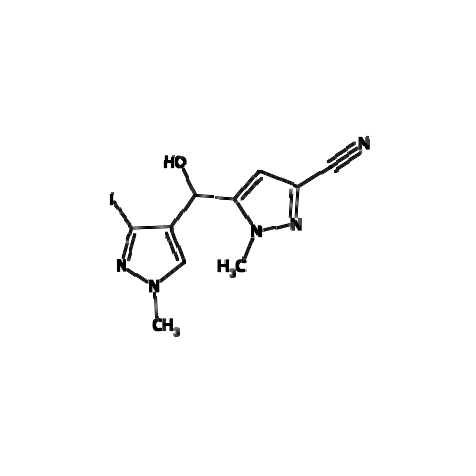 Cn1cc(C(O)c2cc(C#N)nn2C)c(I)n1